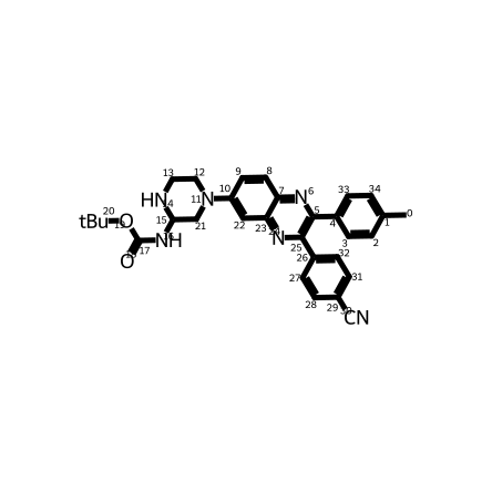 Cc1ccc(-c2nc3ccc(N4CCNC(NC(=O)OC(C)(C)C)C4)cc3nc2-c2ccc(C#N)cc2)cc1